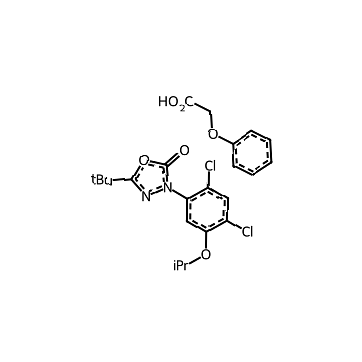 CC(C)Oc1cc(-n2nc(C(C)(C)C)oc2=O)c(Cl)cc1Cl.O=C(O)COc1ccccc1